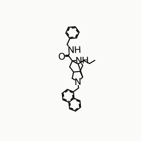 CCCC1C2C3CNC1(C(=O)NCc1ccccc1)CC3CN2Cc1cccc2ccccc12